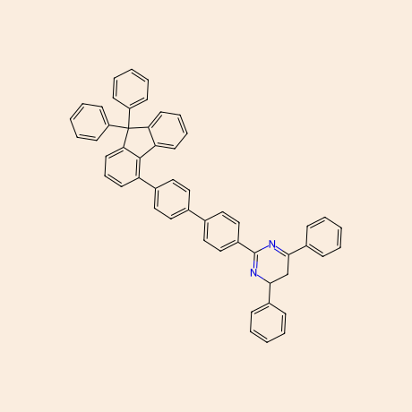 c1ccc(C2=NC(c3ccc(-c4ccc(-c5cccc6c5-c5ccccc5C6(c5ccccc5)c5ccccc5)cc4)cc3)=NC(c3ccccc3)C2)cc1